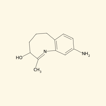 C/C1=N\c2cc(N)ccc2CCCC1O